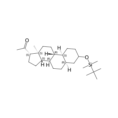 CC(=O)[C@H]1CC[C@H]2[C@@H]3CC[C@@H]4CC(O[Si](C)(C)C(C)(C)C)CC[C@@H]4[C@H]3CC[C@]12C